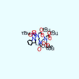 COC(=O)[C@H](Cc1c[nH]c2ccccc12)N(CCN(CC(=O)OC(C)(C)C)CC(=O)OC(C)(C)C)CCN(CC(=O)OC(C)(C)C)CC(=O)OC(C)(C)C